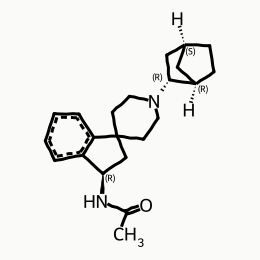 CC(=O)N[C@@H]1CC2(CCN([C@@H]3C[C@H]4CC[C@@H]3C4)CC2)c2ccccc21